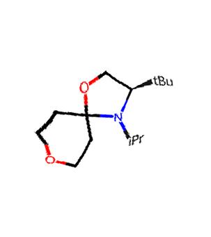 CC(C)N1[C@H](C(C)(C)C)COC12CCOCC2